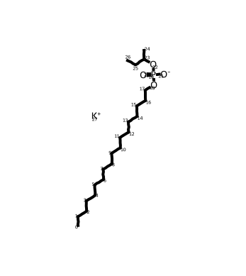 CCCCCCCCCCCCCCCCCCOP(=O)([O-])OC(C)CC.[K+]